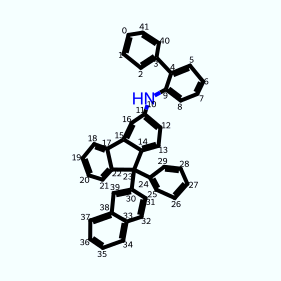 c1ccc(-c2ccccc2Nc2ccc3c(c2)-c2ccccc2C3(c2ccccc2)c2ccc3ccccc3c2)cc1